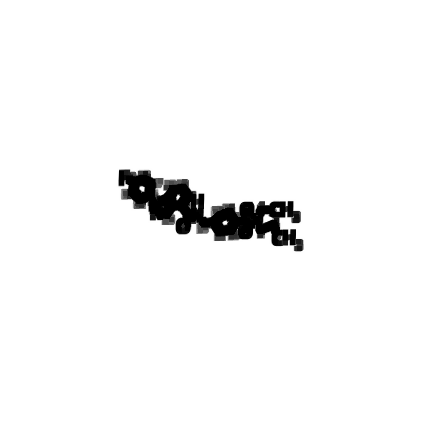 CCCN(CC)S(=O)(=O)c1ccc(CNC(=O)c2cccc3c2cnn3-c2ccc(F)cc2)cc1